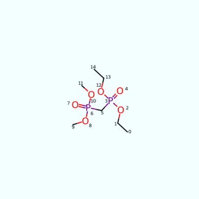 CCOP(=O)(CP(=O)(OC)OC)OCC